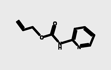 C=CCOC(=O)Nc1ccccn1